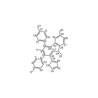 Cc1ccc(-c2c(C)c(-c3ccc(C)cc3)c3c(c2C2=CC=CC2)C(C)c2ccc(C)cc2-3)cc1